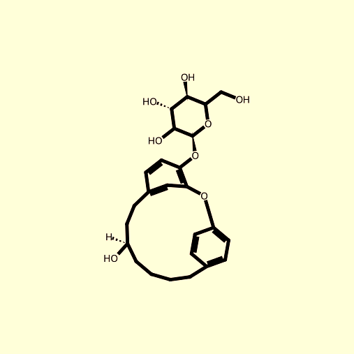 OCC1O[C@@H](Oc2ccc3cc2Oc2ccc(cc2)CCCC[C@@H](O)CC3)C(O)[C@H](O)[C@H]1O